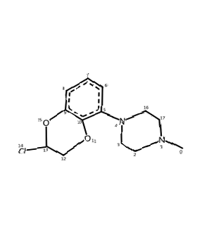 CN1CCN(c2cccc3c2OCC(Cl)O3)CC1